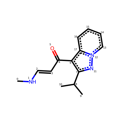 CNC=CC(=O)c1c(C(C)C)nn2ccccc12